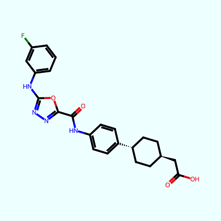 O=C(O)C[C@H]1CC[C@H](c2ccc(NC(=O)c3nnc(Nc4cccc(F)c4)o3)cc2)CC1